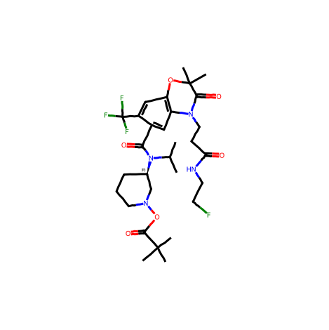 CC(C)N(C(=O)c1cc2c(cc1C(F)(F)F)OC(C)(C)C(=O)N2CCC(=O)NCCF)[C@@H]1CCCN(OC(=O)C(C)(C)C)C1